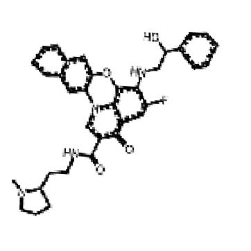 CN1CCCC1CCNC(=O)c1cn2c3c(c(NCC(O)c4ccccc4)c(F)cc3c1=O)Oc1cc3ccccc3cc1-2